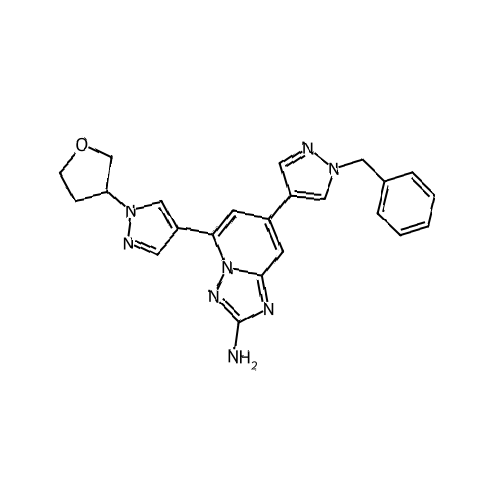 Nc1nc2cc(-c3cnn(Cc4ccccc4)c3)cc(-c3cnn(C4CCOC4)c3)n2n1